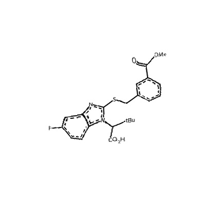 COC(=O)c1cccc(CSc2nc3cc(F)ccc3n2C(C(=O)O)C(C)(C)C)c1